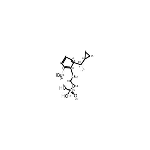 CC[C@@H](C)c1cccc([C@@H](C)C2CC2)c1OCOP(=O)(O)O